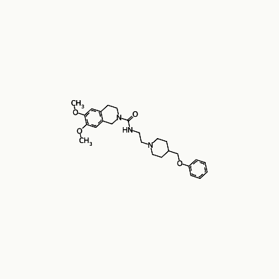 COc1cc2c(cc1OC)CN(C(=O)NCCN1CCC(COc3ccccc3)CC1)CC2